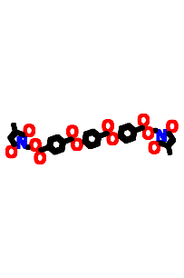 CC1=CC(=O)N(COC(=O)c2ccc(OC(=O)c3ccc(OC(=O)c4ccc(C(=O)OCN5C(=O)C=C(C)C5=O)cc4)cc3)cc2)C1=O